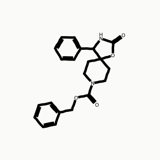 O=C1NC(c2ccccc2)C2(CCN(C(=O)OCc3ccccc3)CC2)O1